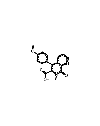 COc1ccc(-c2c(C(=O)O)n(C)c(=O)c3ncccc23)cc1